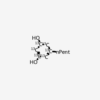 CCCCC[13C]1=[13CH][13C](O)=[13CH][13CH](O)[13CH2]1